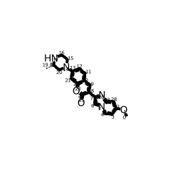 COc1ccn2cc(-c3cc4ccc(N5CCN[C@@H](C)C5)cc4oc3=O)nc2c1